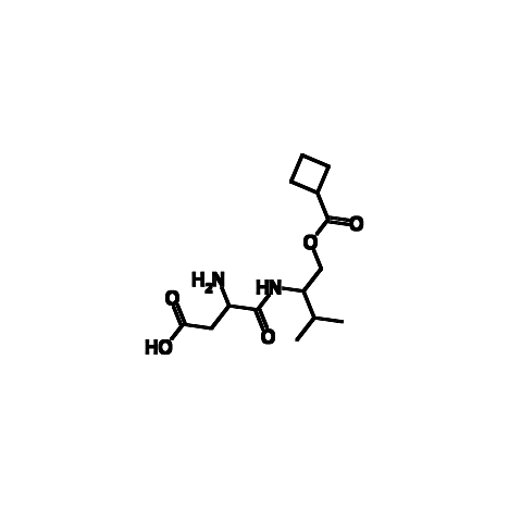 CC(C)C(COC(=O)C1CCC1)NC(=O)C(N)CC(=O)O